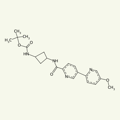 COc1ccc(-c2ccc(C(=O)NC3CC(NC(=O)OC(C)(C)C)C3)nc2)nc1